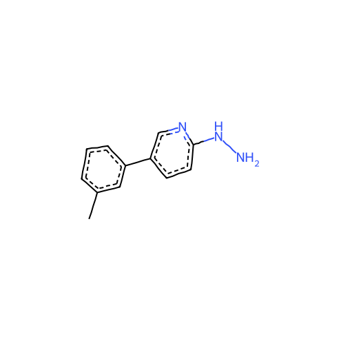 Cc1cccc(-c2ccc(NN)nc2)c1